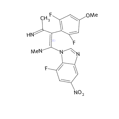 CN/C(=C(\C(C)=N)c1c(F)cc(OC)cc1F)n1cnc2cc([N+](=O)[O-])cc(F)c21